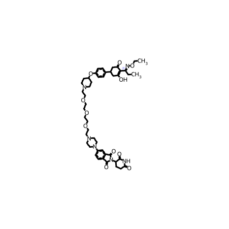 CCO/N=C(\CC)C1=C(O)CC(c2ccc(OC3CCN(CCOCCOCCOCCN4CCN(c5ccc6c(c5)C(=O)N(C5CCC(=O)NC5=O)C6=O)CC4)CC3)cc2)CC1=O